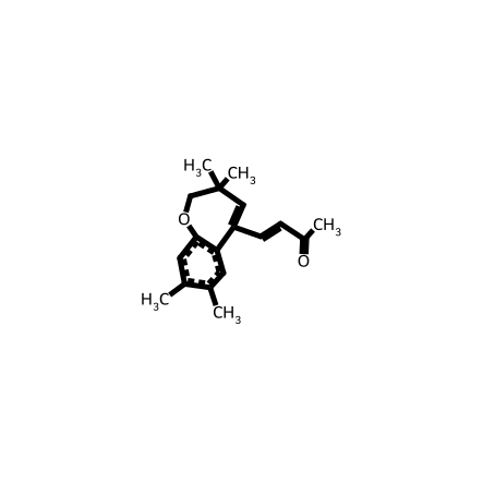 CC(=O)/C=C/C1=CC(C)(C)COc2cc(C)c(C)cc21